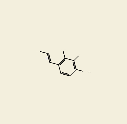 COc1ccc(/C=C/C(C)=O)c(O)c1O